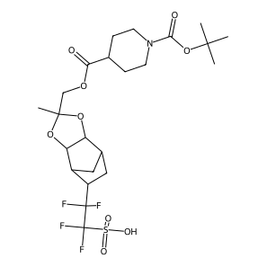 CC(C)(C)OC(=O)N1CCC(C(=O)OCC2(C)OC3C4CC(C3O2)C(C(F)(F)C(F)(F)S(=O)(=O)O)C4)CC1